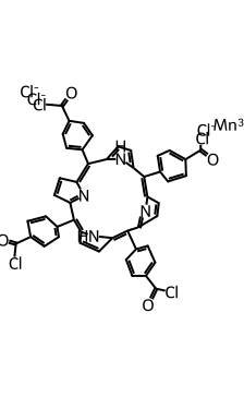 O=C(Cl)c1ccc(-c2c3nc(c(-c4ccc(C(=O)Cl)cc4)c4ccc([nH]4)c(-c4ccc(C(=O)Cl)cc4)c4nc(c(-c5ccc(C(=O)Cl)cc5)c5ccc2[nH]5)C=C4)C=C3)cc1.[Cl-].[Cl-].[Cl-].[Mn+3]